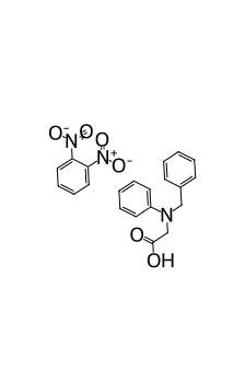 O=C(O)CN(Cc1ccccc1)c1ccccc1.O=[N+]([O-])c1ccccc1[N+](=O)[O-]